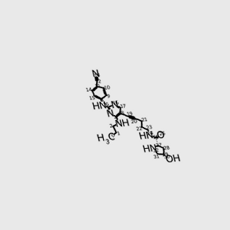 CCCNc1nc(Nc2ccc(C#N)cc2)ncc1C#CCCCNC(=O)[C@@H]1C[C@H](O)CN1